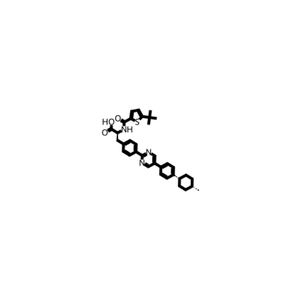 CC(C)(C)c1ccc(C(=O)N[C@@H](Cc2ccc(-c3ncc(-c4ccc([C@H]5CC[C@@H](C)CC5)cc4)cn3)cc2)C(=O)O)s1